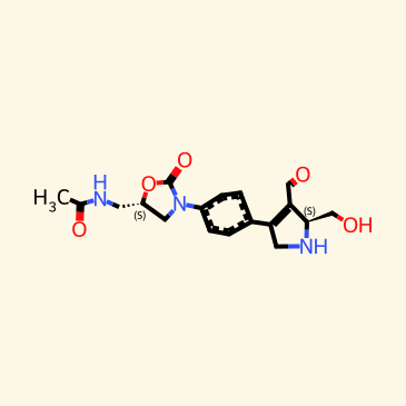 CC(=O)NC[C@H]1CN(c2ccc(C3=C(C=O)[C@@H](CO)NC3)cc2)C(=O)O1